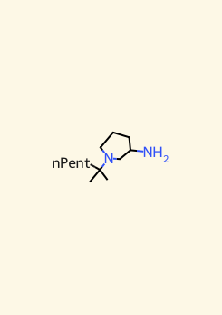 CCCCCC(C)(C)N1CCCC(N)C1